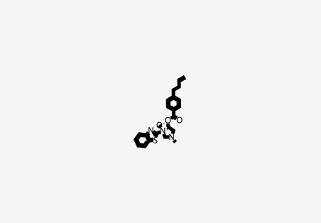 C=CCCc1ccc(C(=O)OC2CN(C)C[N+]2([O-])c2nc3ccccc3s2)cc1